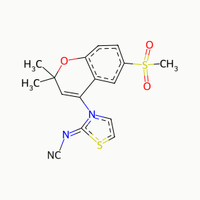 CC1(C)C=C(n2ccsc2=NC#N)c2cc(S(C)(=O)=O)ccc2O1